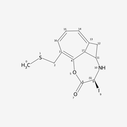 CSCC1=C2OC(=O)[C@H](I)NC3CC(=CC=C1)C23